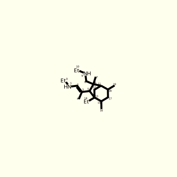 CCN/C=C(\C)C1C(C)(CNCC)C2CC1(CC)C(C)CC2C